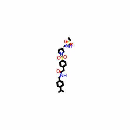 C=CS(=O)(=O)NC[C@H]1CCN(S(=O)(=O)c2ccc(CC(=O)NCc3ccc(C(C)C)cc3)cc2)C1